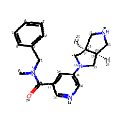 CN(Cc1ccccc1)C(=O)c1cncc(N2C[C@H]3CNC[C@H]3C2)c1